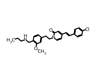 CCCNCc1ccc(CCn2ccc(C=Cc3ccc(Cl)cc3)cc2=O)cc1OC